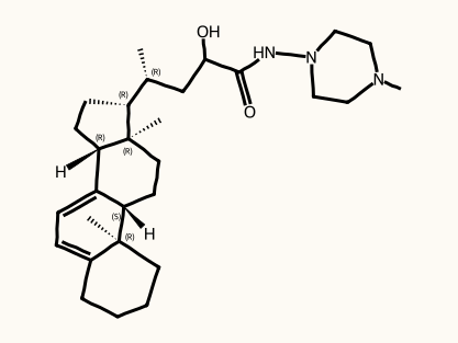 C[C@H](CC(O)C(=O)NN1CCN(C)CC1)[C@H]1CC[C@H]2C3=CC=C4CCCC[C@]4(C)[C@H]3CC[C@]12C